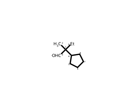 CCC(C)([C]=O)C1CCCC1